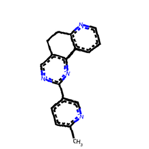 Cc1ccc(-c2ncc3c(n2)-c2cccnc2CC3)cn1